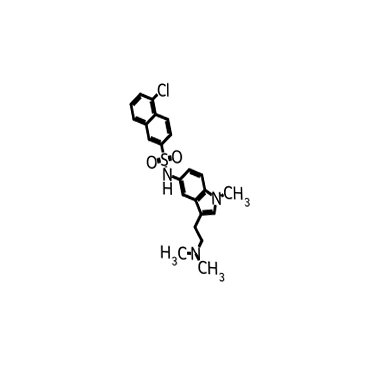 CN(C)CCc1cn(C)c2ccc(NS(=O)(=O)c3ccc4c(Cl)cccc4c3)cc12